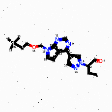 CCC(C=O)n1cc(-c2ncnc3c2ccn3COCC[Si](C)(C)C)cn1